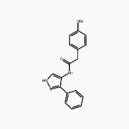 CCCCc1ccc(CC(=O)Nc2c[nH]nc2-c2ccccc2)cc1